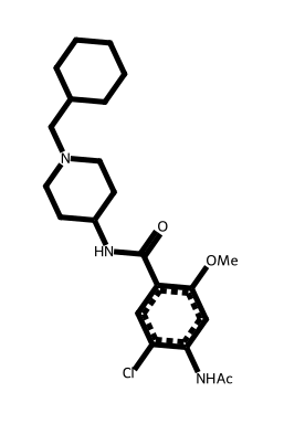 COc1cc(NC(C)=O)c(Cl)cc1C(=O)NC1CCN(CC2CCCCC2)CC1